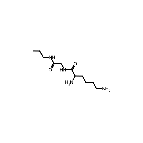 CCCNC(=O)CNC(=O)C(N)CCCCN